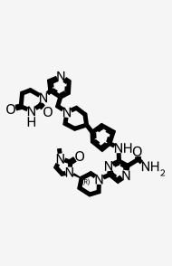 CN1CCN([C@@H]2CCCN(c3cnc(C(N)=O)c(Nc4ccc(C5CCN(Cc6ccncc6N6CCC(=O)NC6=O)CC5)cc4)n3)C2)C1=O